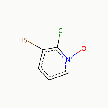 [O-][n+]1cccc(S)c1Cl